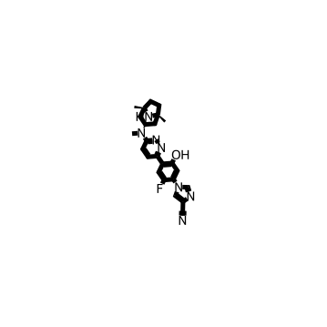 CN(c1ccc(-c2cc(F)c(-n3cnc(C#N)c3)cc2O)nn1)[C@@H]1C[C@]2(C)CC[C@](C)(C1)N2